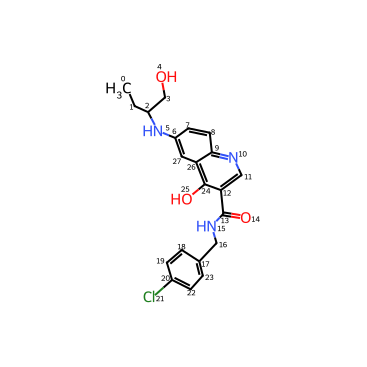 CCC(CO)Nc1ccc2ncc(C(=O)NCc3ccc(Cl)cc3)c(O)c2c1